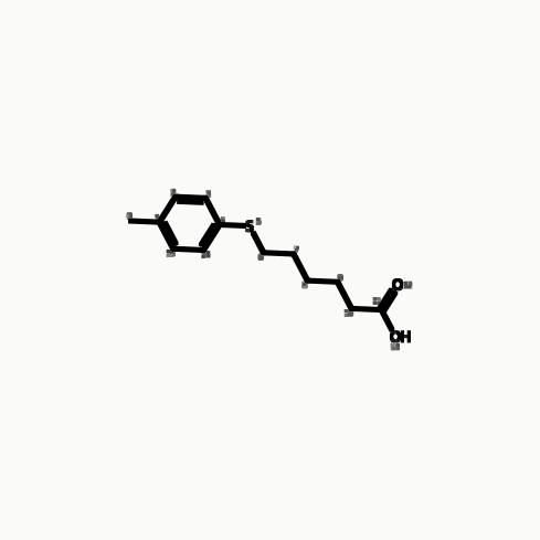 Cc1ccc(SCCCCCC(=O)O)cc1